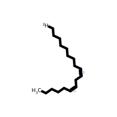 [2H]CCCCCCCC/C=C\C/C=C\CCCCC